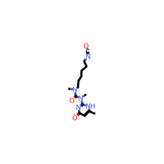 Cc1cc(=O)nc(N(C)C(=O)N(C)CCCCCCN=C=O)[nH]1